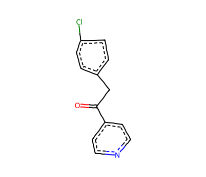 O=C(Cc1ccc(Cl)cc1)c1ccncc1